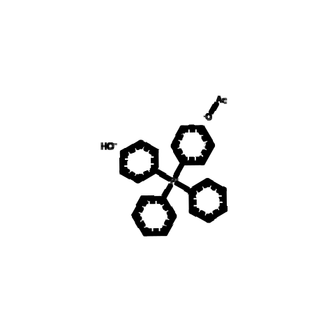 CC([O])=O.[OH-].c1ccc([P+](c2ccccc2)(c2ccccc2)c2ccccc2)cc1